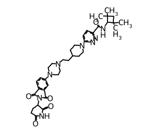 CC1(C)CC(C)(C)C1NC(=O)c1ccc(N2CCC(CCN3CCN(c4ccc5c(c4)C(=O)N(C4CCC(=O)NC4=O)C5=O)CC3)CC2)nn1